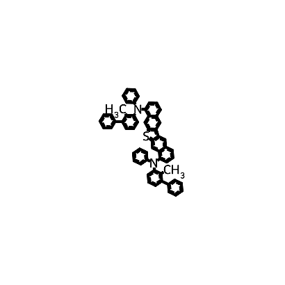 Cc1c(-c2ccccc2)cccc1N(c1ccccc1)c1cccc2cc3c(cc12)sc1cc2c(N(c4ccccc4)c4cccc(-c5ccccc5)c4C)cccc2cc13